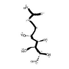 CCCC(=O)OC[C@@H](O)[C@@H](O)[C@H](O)[C@H](O)C=O